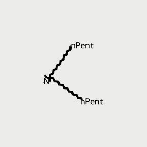 CCCCCC=CCC=CCCCCCCCCC1(CCCCCCCCC=CCC=CCCCCC)CN(C)C1C